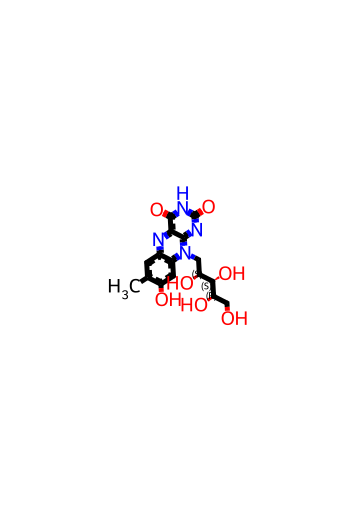 Cc1cc2nc3c(=O)[nH]c(=O)nc-3n(C[C@H](O)[C@H](O)[C@H](O)CO)c2cc1O